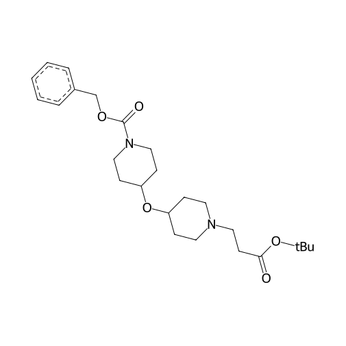 CC(C)(C)OC(=O)CCN1CCC(OC2CCN(C(=O)OCc3ccccc3)CC2)CC1